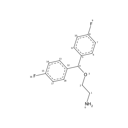 NCCOC(c1ccc(F)cc1)c1ccc(F)cc1